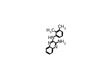 Cc1cccc(Nc2nc3ccccc3nc2N)c1C